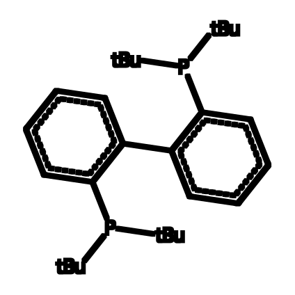 CC(C)(C)P(c1ccccc1-c1ccccc1P(C(C)(C)C)C(C)(C)C)C(C)(C)C